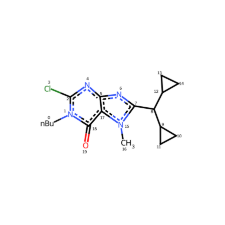 CCCCn1c(Cl)nc2nc(C(C3CC3)C3CC3)n(C)c2c1=O